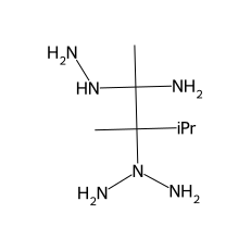 CC(C)C(C)(N(N)N)C(C)(N)NN